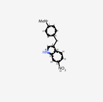 CNc1ccc(Cc2c[nH]c3cc([N+](=O)[O-])ccc23)cc1